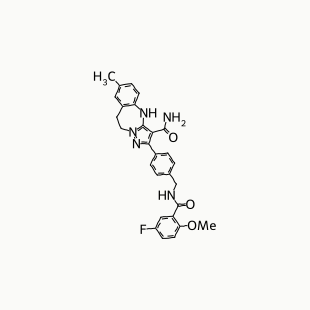 COc1ccc(F)cc1C(=O)NCc1ccc(-c2nn3c(c2C(N)=O)Nc2ccc(C)cc2CC3)cc1